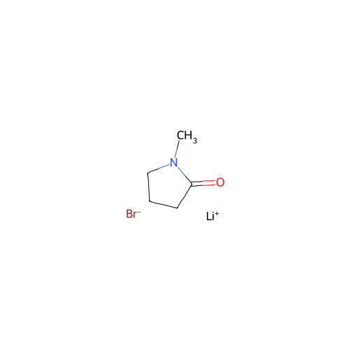 CN1CCCC1=O.[Br-].[Li+]